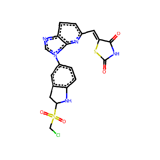 O=C1NC(=O)C(=Cc2ccc3ncn(-c4ccc5c(c4)CC(S(=O)(=O)CCl)N5)c3n2)S1